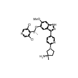 COc1cc2[nH]nc(-c3ccc(N4CC[C@](C)(N)C4)nc3)c2cc1O[C@H](C)c1c(Cl)cncc1Cl